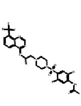 CC(=O)Nc1cc(F)c(S(=O)(=O)N2CCN(CC(C)Nc3ncnc4c(C(F)(F)F)cccc34)CC2)cc1Cl